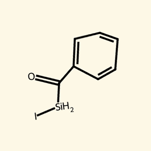 O=C([SiH2]I)c1ccccc1